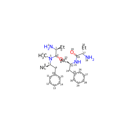 CC[C@H](N)C(=O)N(C)[C@H](C#N)Cc1ccccc1.CC[C@H](N)C(=O)N[C@H](C#N)Cc1ccccc1